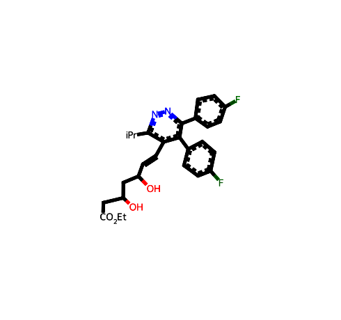 CCOC(=O)CC(O)CC(O)C=Cc1c(C(C)C)nnc(-c2ccc(F)cc2)c1-c1ccc(F)cc1